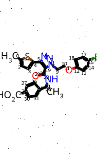 Cc1ccc(-c2nnn(CCOc3ccc(F)cc3)c2C(=O)N[C@@H](C)c2ccc(C(=O)O)cc2)s1